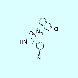 CC(c1cc(Cl)cc2ccccc12)N(C)C(=O)CC1(c2cccc(C#N)c2)CCNCC1